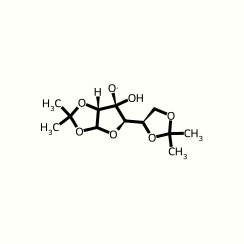 CC1(C)OC[C@H]([C@H]2OC3OC(C)(C)O[C@@H]3[C@]2([O])O)O1